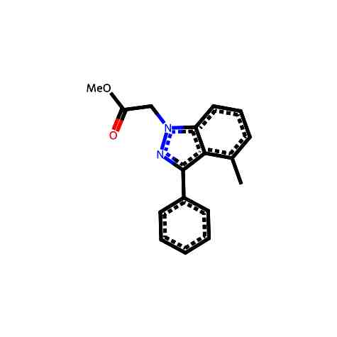 COC(=O)Cn1nc(-c2ccccc2)c2c(C)cccc21